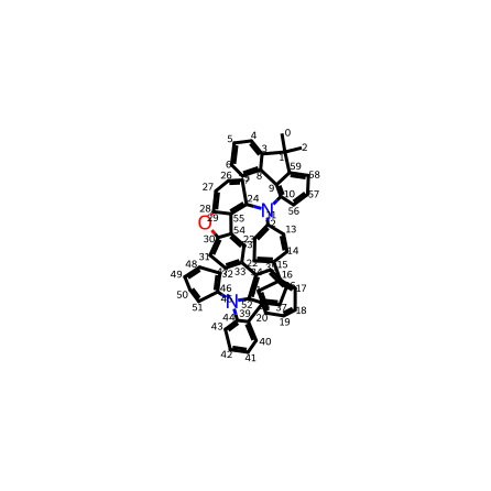 CC1(C)c2ccccc2-c2c(N(c3ccc(-c4ccccc4)cc3)c3cccc4oc5ccc(-c6cccc7c8ccccc8n(-c8ccccc8)c67)cc5c34)cccc21